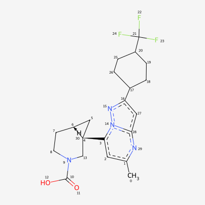 Cc1cc([C@]23C[C@H]2CCN(C(=O)O)C3)n2nc(C3CCC(C(F)(F)F)CC3)cc2n1